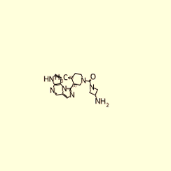 C[C@H]1CCN(C(=O)N2CC(N)C2)C[C@H]1c1ncc2cnc3[nH]ccc3n12